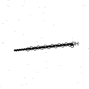 CCCCCCCCCCCCOCCOCCOCCOCCOCCOCCOCCOCCOCCOCCOCCOCCOCC(=O)O